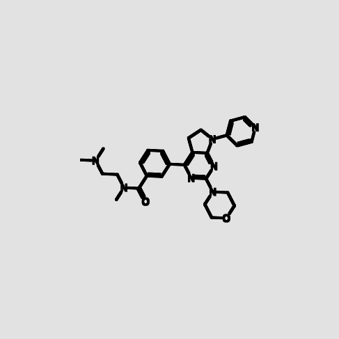 CN(C)CCN(C)C(=O)c1cccc(-c2nc(N3CCOCC3)nc3c2CCN3c2ccncc2)c1